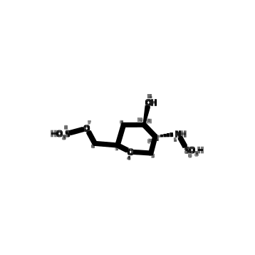 O=S(=O)(O)N[C@@H]1COC(COS(=O)(=O)O)C[C@H]1O